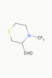 O=CC1CSCCN1C(F)(F)F